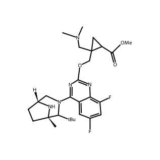 COC(=O)C1CC1(COc1nc(N2C[C@H]3CC[C@](C)(N3)C2C(C)(C)C)c2cc(F)cc(F)c2n1)CN(C)C